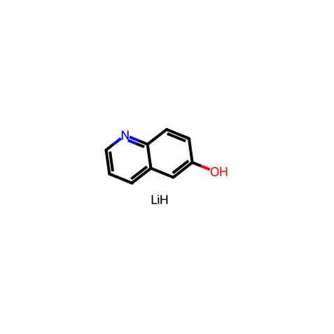 Oc1ccc2ncccc2c1.[LiH]